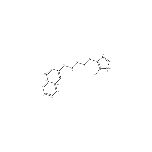 Cc1[nH]cnc1CCCOCc1ccc2ccccc2c1